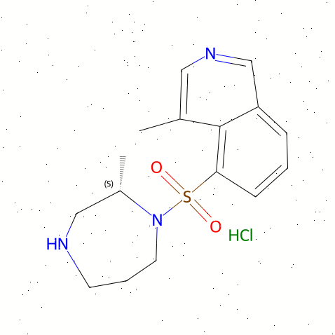 Cc1cncc2cccc(S(=O)(=O)N3CCCNC[C@@H]3C)c12.Cl